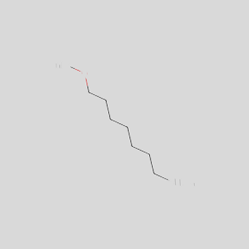 CC[CH]OCCCCCCCCCCCCCC